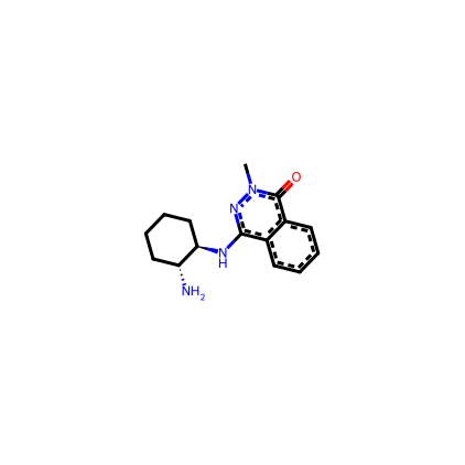 Cn1nc(N[C@@H]2CCCC[C@H]2N)c2ccccc2c1=O